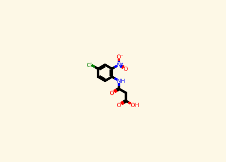 O=C(O)CC(=O)Nc1ccc(Cl)cc1[N+](=O)[O-]